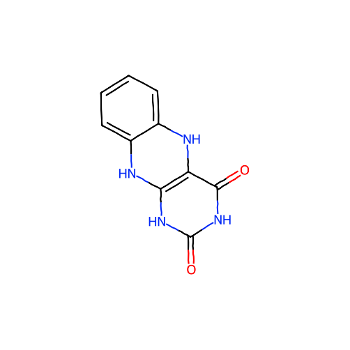 O=c1[nH]c2c(c(=O)[nH]1)Nc1ccccc1N2